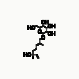 C=C[C@](C)(O)CC/C=C(\C)COC1OC(CO)C(O)C(O)C1O